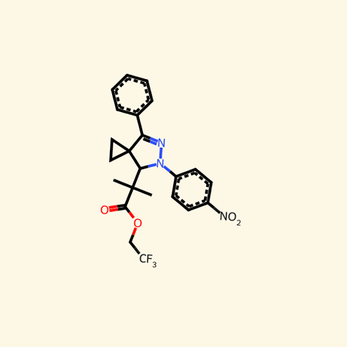 CC(C)(C(=O)OCC(F)(F)F)C1N(c2ccc([N+](=O)[O-])cc2)N=C(c2ccccc2)C12CC2